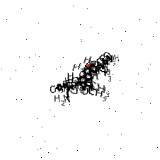 CC(C)C1=C2[C@H]3CC[C@@H]4[C@@]5(C)CC[C@H](OC(=O)[C@H]6C[C@@H](C(=O)O)C6(C)C)C(C)(C)[C@@H]5CC[C@@]4(C)[C@]3(C)CC[C@@]2([C@@H](O)CNC(=O)C(C)(CCCN)NC(=O)c2ccc(Cl)cc2)CC1=O